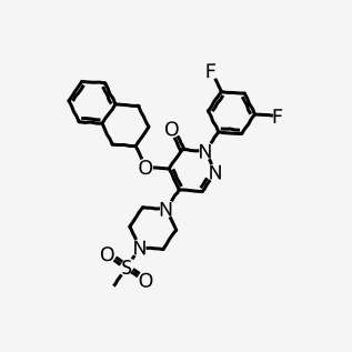 CS(=O)(=O)N1CCN(c2cnn(-c3cc(F)cc(F)c3)c(=O)c2OC2CCc3ccccc3C2)CC1